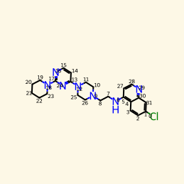 Clc1ccc2c(NCCN3CCN(c4ccnc(N5CCCCC5)n4)CC3)ccnc2c1